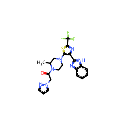 CC1CN(c2sc(C(F)(F)F)nc2-c2nc3ccccc3[nH]2)CCN1C(=O)Cn1cccn1